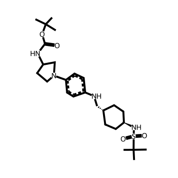 CC(C)(C)OC(=O)NC1CCN(c2ccc(NC[C@H]3CC[C@H](NS(=O)(=O)C(C)(C)C)CC3)cc2)C1